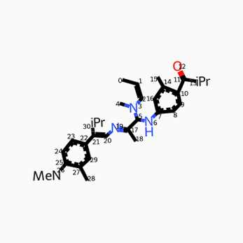 C/C=C\N(C)C(Nc1ccc(C(=O)C(C)C)c(C)c1)/C(C)=N/C=C(/c1ccc(NC)c(C)c1)C(C)C